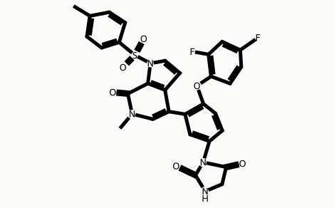 Cc1ccc(S(=O)(=O)n2ccc3c(-c4cc(N5C(=O)CNC5=O)ccc4Oc4ccc(F)cc4F)cn(C)c(=O)c32)cc1